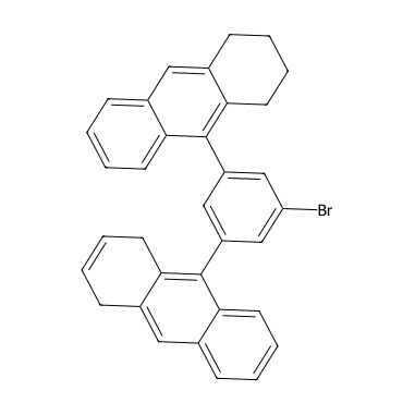 Brc1cc(-c2c3c(cc4ccccc24)CC=CC3)cc(-c2c3c(cc4ccccc24)CCCC3)c1